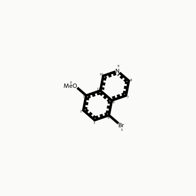 COc1ccc(Br)c2ccncc12